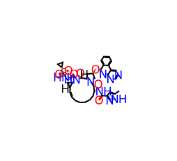 Cc1cc(C(=O)N[C@H]2CCCCC/C=C\[C@@H]3C[C@@]3(C(=O)NS(=O)(=O)C3CC3)NC(=O)[C@@H]3C[C@@H](Oc4nc5ncncc5c5ccccc45)CN3C2=O)n[nH]1